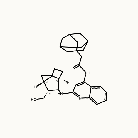 O=C(CC12CC3CC(CC(C3)C1)C2)Nc1cc(NC2[C@H](CO)[C@@H]3CC34CC[C@@H]24)nc2ccccc12